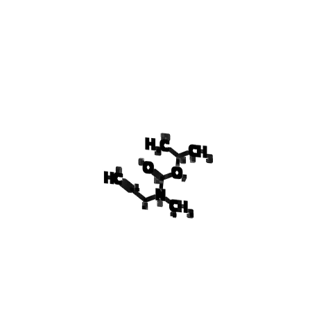 C#CCN(C)C(=O)OC(C)C